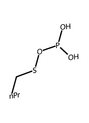 CCCCSOP(O)O